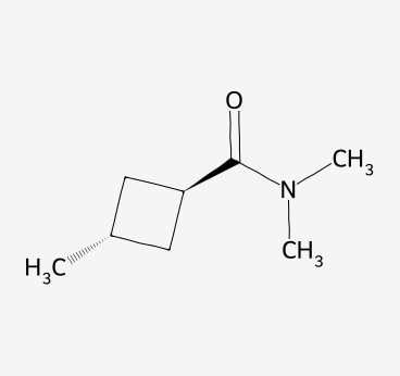 CN(C)C(=O)[C@H]1C[C@H](C)C1